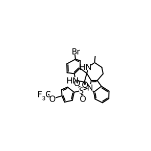 CC1CCc2c(n(S(=O)(=O)c3ccc(OC(F)(F)F)cc3)c3ccccc23)C2(N1)C(=O)Nc1ccc(Br)cc12